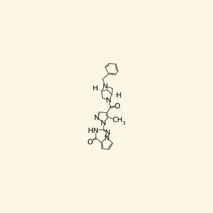 Cc1c(C(=O)N2C[C@@H]3C[C@H]2CN3Cc2ccccc2)cnn1-c1nn2cccc2c(=O)[nH]1